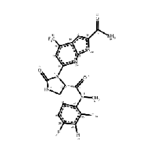 CN(C(=O)[C@@H]1CNC(=O)N1c1cc(C(F)(F)F)c2cc(C(N)=O)sc2n1)c1ccc(F)c(Cl)c1F